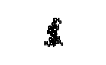 CCONC(=O)c1c(F)cc(NC(=O)C(C)(C)F)cc1F